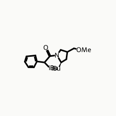 CCC(C)C(C(=O)N1CC(COC)C[C@H]1C(C)CC)c1ccccc1